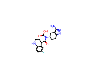 Nc1[nH]nc2c1CC(N(C(=O)O)C(=O)C1CCNc3ccc(F)cc31)CC2